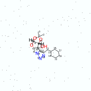 CC1(C)O[C@H]2OC3Cn4nnc(CC5CCCCC5)c4[C@]3(O)[C@H]2O1